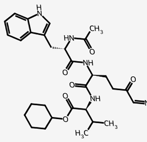 CC(=O)N[C@@H](Cc1c[nH]c2ccccc12)C(=O)N[C@@H](CCC(=O)C=N)C(=O)N[C@H](C(=O)OC1CCCCC1)C(C)C